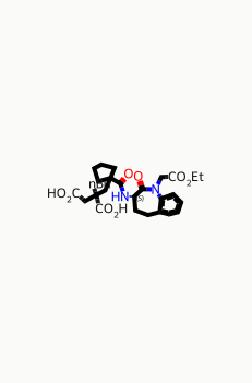 CCCCC(CC(=O)O)(CC1(C(=O)N[C@H]2CCc3ccccc3N(CC(=O)OCC)C2=O)CCCC1)C(=O)O